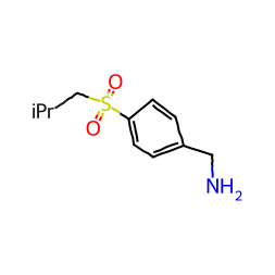 CC(C)CS(=O)(=O)c1ccc(CN)cc1